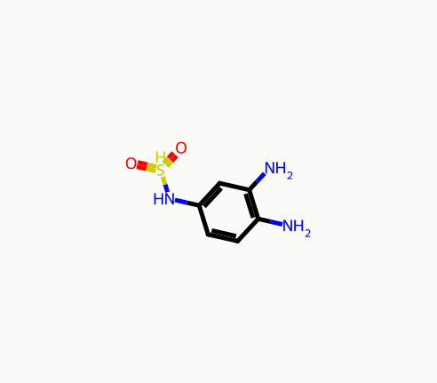 Nc1ccc(N[SH](=O)=O)cc1N